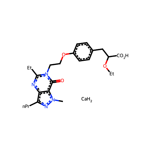 CCCc1nn(C)c2c(=O)n(CCOc3ccc(CC(OCC)C(=O)O)cc3)c(CC)nc12.[CaH2]